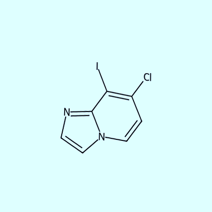 Clc1ccn2ccnc2c1I